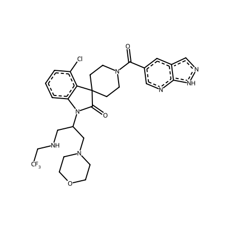 O=C(c1cnc2[nH]ncc2c1)N1CCC2(CC1)C(=O)N(C(CNCC(F)(F)F)CN1CCOCC1)c1cccc(Cl)c12